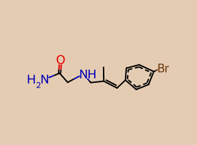 C/C(=C\c1ccc(Br)cc1)CNCC(N)=O